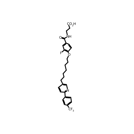 O=C(O)CCNC(=O)c1ccc(OCCCCCCCc2ccc(-c3ccc(C(F)(F)F)cc3)nc2)c(F)c1